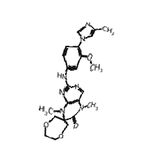 COc1cc(Nc2ncc3c(n2)N(C)C2(COCCOC2)C(=O)N3C)ccc1-n1cnc(C)c1